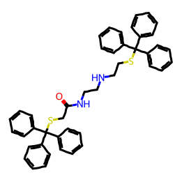 O=C(CSC(c1ccccc1)(c1ccccc1)c1ccccc1)NCCNCCSC(c1ccccc1)(c1ccccc1)c1ccccc1